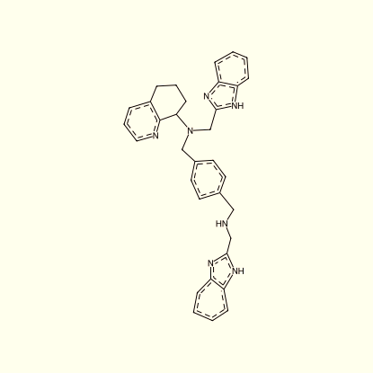 c1cnc2c(c1)CCCC2N(Cc1ccc(CNCc2nc3ccccc3[nH]2)cc1)Cc1nc2ccccc2[nH]1